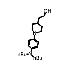 CCCCN(CCCC)c1ccc(N2CCC(CCO)CC2)cc1